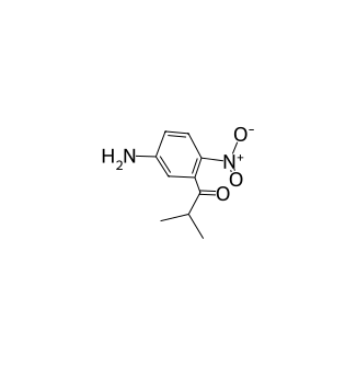 CC(C)C(=O)c1cc(N)ccc1[N+](=O)[O-]